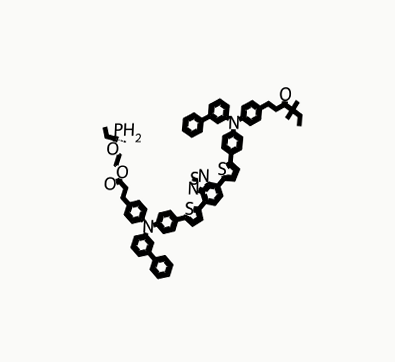 CCC(C)(C)C(=O)CCc1ccc(N(c2ccc(-c3ccc(-c4ccc(-c5ccc(-c6ccc(N(c7ccc(CCC(=O)OCCO[C@](C)(P)CC)cc7)c7cccc(-c8ccccc8)c7)cc6)s5)c5nsnc45)s3)cc2)c2cccc(-c3ccccc3)c2)cc1